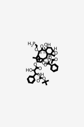 CC(=O)O[C@@]12CO[C@@H]1C[C@H](O)[C@@]1(C)C(=O)[C@H](OCP)C3=C(C)[C@@H](OC(=O)[C@H](O)C(NC(=O)OC(C)(C)C)c4ccccc4)C[C@@](O)([C@@H](OC(=O)c4ccccc4)[C@H]21)C3(C)C